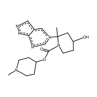 CN1CCC(OC(=O)N2CCC(O)CC2(C)n2cnc3nncc-3c2)CC1